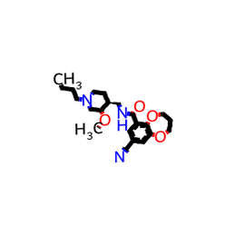 CCCCN1CC[C@@H](CNC(=O)c2cc(C#N)cc3c2OCCCO3)C(OC)C1